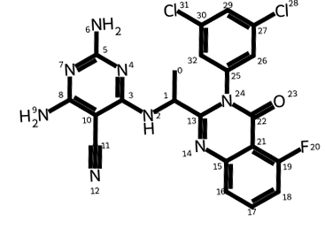 CC(Nc1nc(N)nc(N)c1C#N)c1nc2cccc(F)c2c(=O)n1-c1cc(Cl)cc(Cl)c1